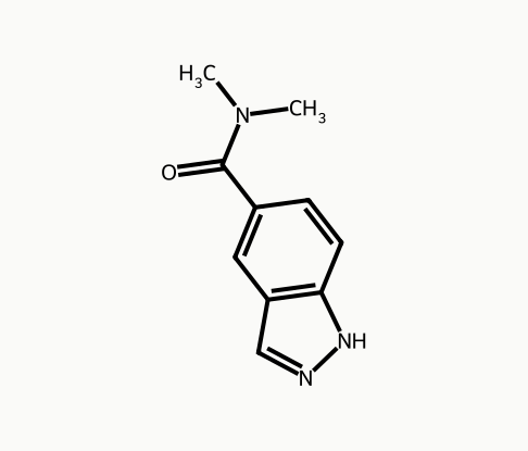 CN(C)C(=O)c1ccc2[nH]ncc2c1